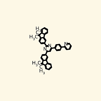 CC1(C)c2ccccc2-c2cc(-c3cc(-c4ccc(-c5ccccn5)cc4)nc(-c4ccc5c(c4)-c4ccccc4C5(C)C)n3)ccc21